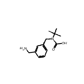 CC(C)(C)N(Cc1cccc(CN)c1)C(=O)O